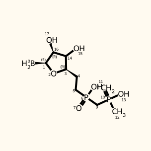 B[C@@H]1O[C@H](CCP(=O)(O)CP(=C)(C)O)C(O)[C@@H]1O